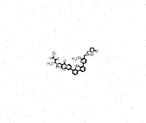 CNC(=O)[C@H](C)N(C)Cc1cnc2cc(-c3cccc(-c4cccc(-c5ccc(CNC[C@H]6CCC(=O)N6)c(OC)n5)c4Cl)c3Cl)ccn2c1=O